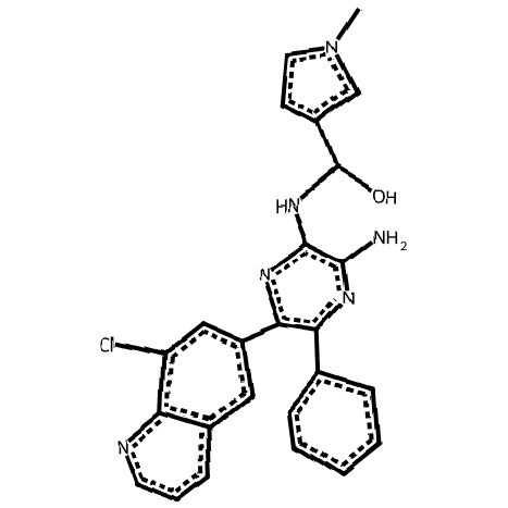 Cn1ccc(C(O)Nc2nc(-c3cc(Cl)c4ncccc4c3)c(-c3ccccc3)nc2N)c1